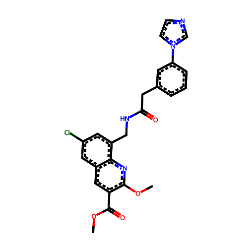 COC(=O)c1cc2cc(Cl)cc(CNC(=O)Cc3cccc(-n4ccnc4)c3)c2nc1OC